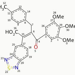 COc1cc(C(=O)/C(Cc2ccc(C)cc2)=C(/C(=O)O)c2ccc3nsnc3c2)cc(OC)c1OC